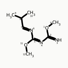 COC(=N)/N=C(\N=C\C(C)C)OC